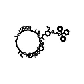 CO[C@H]1C[C@@H]2CC[C@@H](C)[C@@](O)(O2)C(=O)C(=O)N2CCCC[C@H]2C(=O)O[C@H]([C@H](C)C[C@@H]2CC[C@@H](OCCOC(c3ccccc3)(c3ccccc3)c3ccccc3)[C@H](OC)C2)CC(=O)[C@H](C)/C=C(\C)[C@@H](O)[C@@H](OC)C(=O)[C@H](C)C[C@H](C)/C=C/C=C/C=C/1C